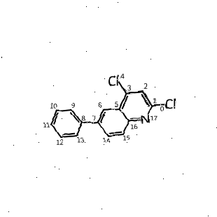 Clc1cc(Cl)c2cc(-c3ccccc3)ccc2n1